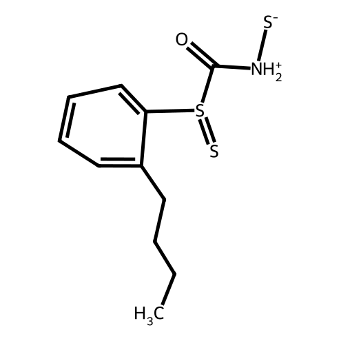 CCCCc1ccccc1S(=S)C(=O)[NH2+][S-]